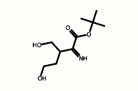 CC(C)(C)OC(=O)C(=N)C(CO)CCO